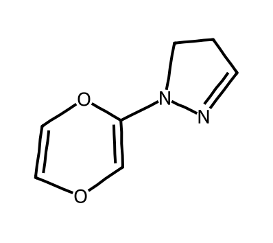 C1=COC(N2CCC=N2)=CO1